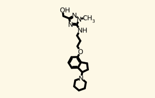 Cn1nc(CO)nc1NCCCOc1cccc2c1CCC2N1CCCCC1